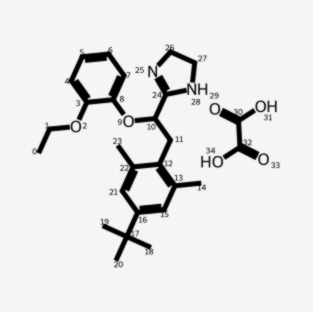 CCOc1ccccc1OC(Cc1c(C)cc(C(C)(C)C)cc1C)C1=NCCN1.O=C(O)C(=O)O